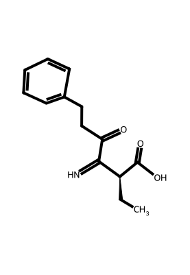 CC[C@@H](C(=N)C(=O)CCc1ccccc1)C(=O)O